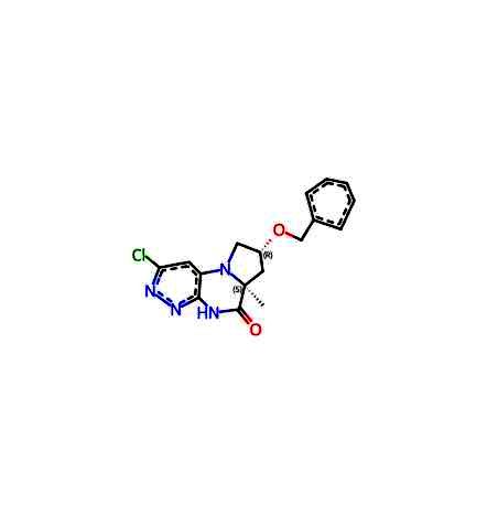 C[C@@]12C[C@@H](OCc3ccccc3)CN1c1cc(Cl)nnc1NC2=O